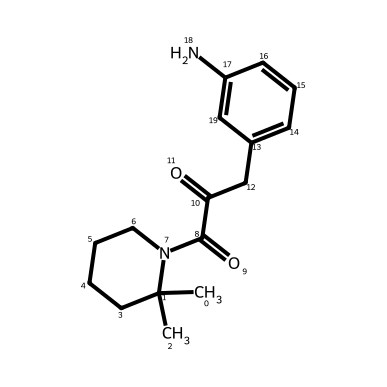 CC1(C)CCCCN1C(=O)C(=O)Cc1cccc(N)c1